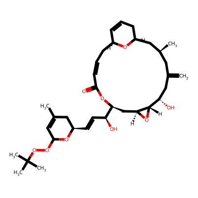 C=C1C[C@H](C)C[C@@H]2CC=C[C@@H](C/C=C\C(=O)O[C@H]([C@@H](O)/C=C/[C@@H]3CC(C)=CC(OOC(C)(C)C)O3)C[C@@H]3O[C@H]3[C@@H](O)C1)O2